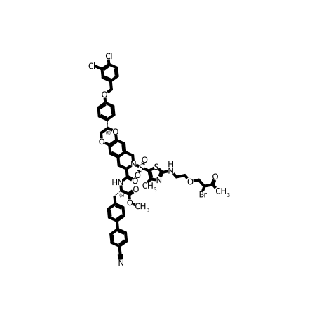 COC(=O)[C@H](Cc1ccc(-c2ccc(C#N)cc2)cc1)NC(=O)C1Cc2cc3c(cc2CN1S(=O)(=O)c1sc(NCCOCC(Br)C(C)=O)nc1C)O[C@@H](c1ccc(OCc2ccc(Cl)c(Cl)c2)cc1)CO3